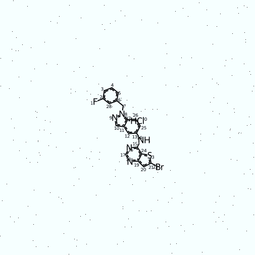 Cl.Fc1cccc(Cn2ncc3cc(Nc4ncnc5cc(Br)sc45)ccc32)c1